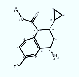 CC(C)OC(=O)N1c2ccc(C(F)(F)F)cc2[C@@H](N)C[C@H]1C1CC1